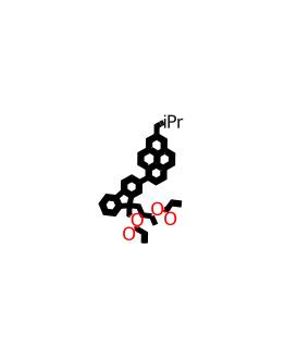 C=CC(=O)OCC1(CCC(C)OC(=O)C=C)c2ccccc2-c2ccc(-c3ccc4ccc5cc(CC(C)C)cc6ccc3c4c56)cc21